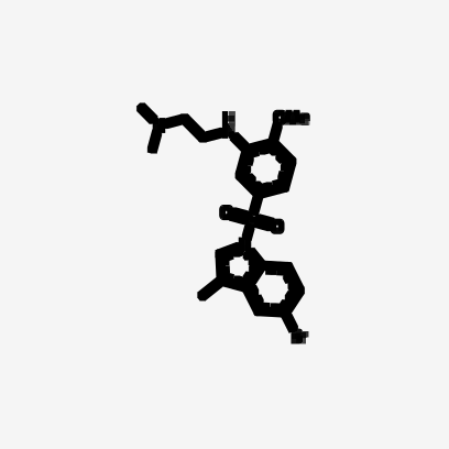 COc1ccc(S(=O)(=O)n2cc(C)c3cc(Br)ccc32)cc1NCCN(C)C